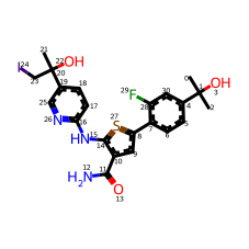 CC(C)(O)c1ccc(-c2cc(C(N)=O)c(Nc3ccc(C(C)(O)CI)cn3)s2)c(F)c1